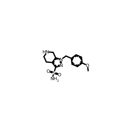 COc1ccc(Cn2nc(S(N)(=O)=O)c3c2CNCC3)cc1